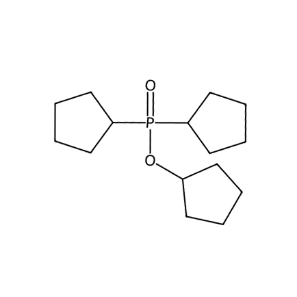 O=P(OC1CCCC1)(C1CCCC1)C1CCCC1